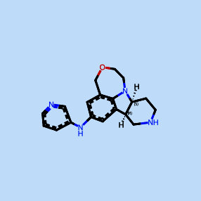 c1cncc(Nc2cc3c4c(c2)[C@@H]2CNCC[C@@H]2N4CCOC3)c1